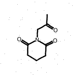 CC(=O)CN1C(=O)CCCC1=O